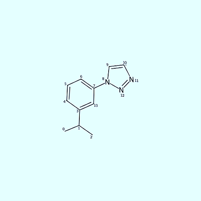 CC(C)c1cccc(-n2c[c]nn2)c1